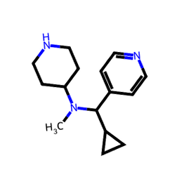 CN(C1CCNCC1)C(c1ccncc1)C1CC1